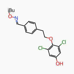 CCC(C)ON=Cc1ccc(CCOc2c(Cl)cc(O)cc2Cl)cc1